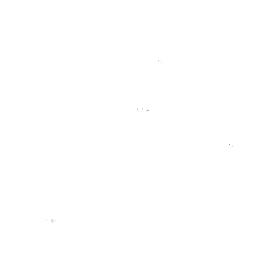 COc1ccc(-c2ccc(C(c3ccncc3)C3CCNCC3)c(OC)c2)cc1